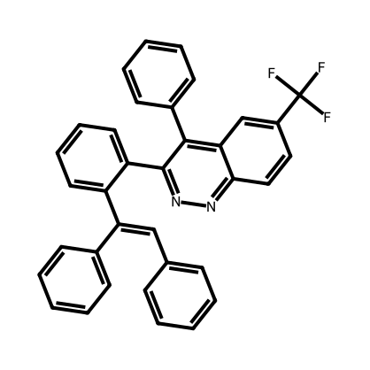 FC(F)(F)c1ccc2nnc(-c3ccccc3C(=Cc3ccccc3)c3ccccc3)c(-c3ccccc3)c2c1